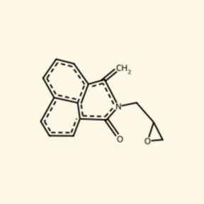 C=c1c2cccc3cccc(c(=O)n1CC1CO1)c32